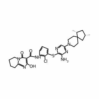 C[C@H]1C[C@@H](C)C2(CCN(c3cnc(Sc4cccc(NC(=O)c5c(O)nc6n(c5=O)CCCC6)c4Cl)c(N)n3)CC2)C1